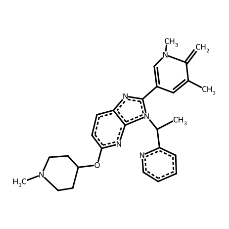 C=C1C(C)=CC(c2nc3ccc(OC4CCN(C)CC4)nc3n2C(C)c2ccccn2)=CN1C